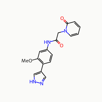 COc1cc(NC(=O)Cn2ccccc2=O)ccc1-c1cn[nH]c1